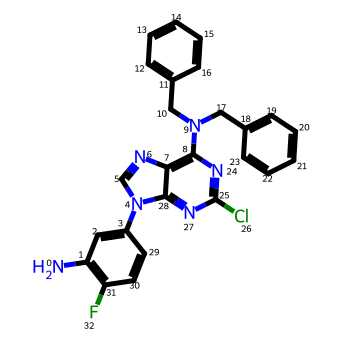 Nc1cc(-n2cnc3c(N(Cc4ccccc4)Cc4ccccc4)nc(Cl)nc32)ccc1F